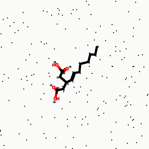 CCCCCCC=CC(CC(=O)O)CC(=O)O